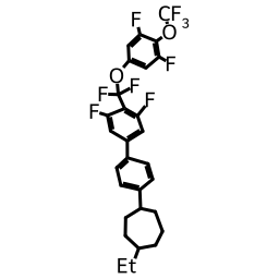 CCC1CCCC(c2ccc(-c3cc(F)c(C(F)(F)Oc4cc(F)c(OC(F)(F)F)c(F)c4)c(F)c3)cc2)CC1